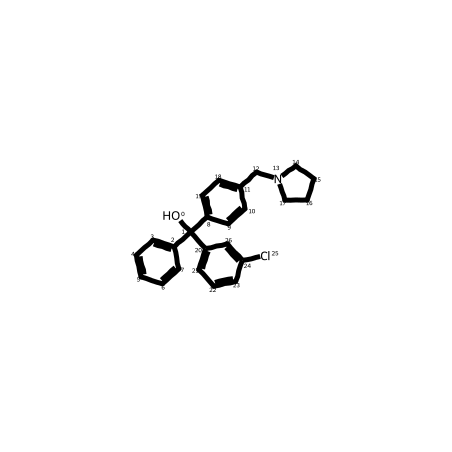 OC(c1ccccc1)(c1ccc(CN2CCCC2)cc1)c1cccc(Cl)c1